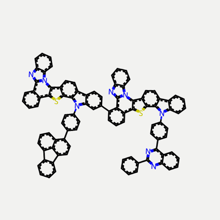 c1ccc(-c2nc(-c3ccc(-n4c5ccccc5c5ccc6c(sc7c8cccc(-c9ccc%10c%11ccc%12c(sc%13c%14ccccc%14c%14nc%15ccccc%15n%14c%12%13)c%11n(-c%11ccc(-c%12ccc%13c%14c(cccc%12%14)-c%12ccccc%12-%13)cc%11)c%10c9)c8c8nc9ccccc9n8c67)c54)cc3)c3ccccc3n2)cc1